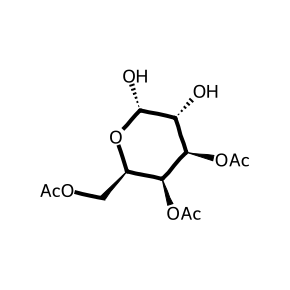 CC(=O)OC[C@H]1O[C@H](O)[C@H](O)[C@@H](OC(C)=O)[C@H]1OC(C)=O